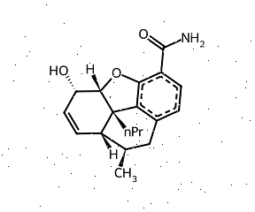 CCC[C@]12c3c4ccc(C(N)=O)c3O[C@H]1[C@@H](O)C=C[C@H]2[C@H](C)C4